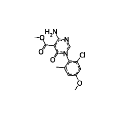 COC(=O)c1c(N)ncn(-c2c(C)cc(OC)cc2Cl)c1=O